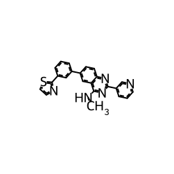 CNc1nc(-c2cccnc2)nc2ccc(-c3cccc(-c4nccs4)c3)cc12